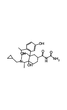 CC(O)c1ccc(O)cc1C12CCN(CC3CC3)C(C)C1(O)CCC(C(=O)NC(N)=O)C2